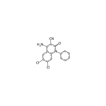 N#Cc1c(N)c2cc(Cl)c(Cl)cc2n(-c2ccccc2)c1=O